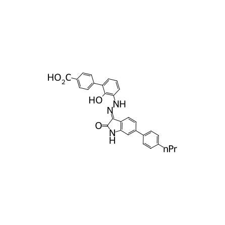 CCCc1ccc(-c2ccc3c(c2)NC(=O)C3=NNc2cccc(-c3ccc(C(=O)O)cc3)c2O)cc1